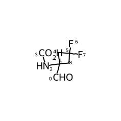 O=CC1(NC(=O)O)CC(F)(F)C1